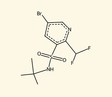 CC(C)(C)NS(=O)(=O)c1cc(Br)cnc1C(F)F